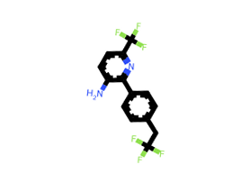 Nc1ccc(C(F)(F)F)nc1-c1ccc(CC(F)(F)F)cc1